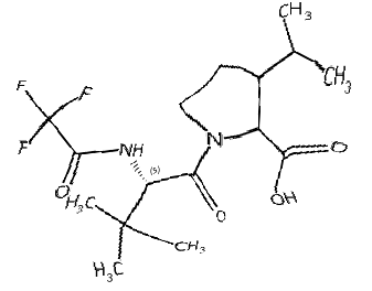 CC(C)C1CCN(C(=O)[C@@H](NC(=O)C(F)(F)F)C(C)(C)C)C1C(=O)O